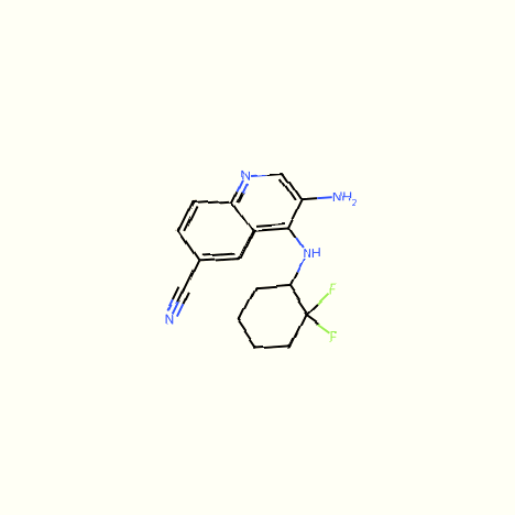 N#Cc1ccc2ncc(N)c(NC3CCCCC3(F)F)c2c1